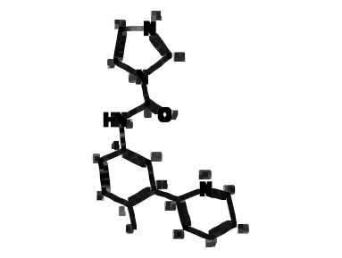 Cc1ccc(NC(=O)n2ccnc2)cc1-c1ccccn1